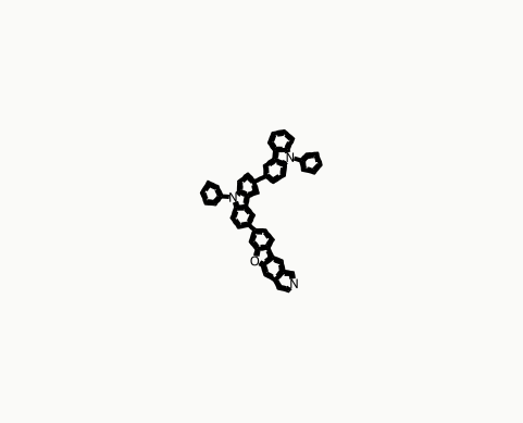 c1ccc(-n2c3ccccc3c3cc(-c4ccc5c(c4)c4cc(-c6ccc7c(c6)oc6cc8ccncc8cc67)ccc4n5-c4ccccc4)ccc32)cc1